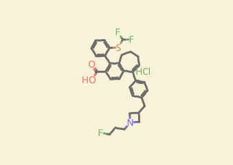 Cl.O=C(O)c1ccc2c(c1-c1ccccc1SC(F)F)CCCC=C2c1ccc(CC2CN(CCCF)C2)cc1